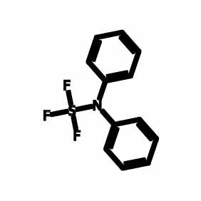 FS(F)(F)N(c1ccccc1)c1ccccc1